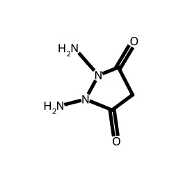 NN1C(=O)CC(=O)N1N